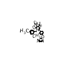 [C-]#[N+]c1c(C(F)(F)F)cc(-c2ccc(Oc3cnccn3)cc2)n(Cc2ccc(C)cc2C)c1=O